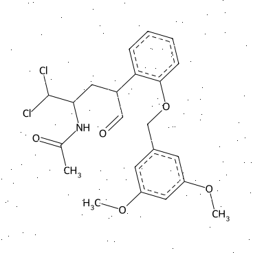 COc1cc(COc2ccccc2C(C=O)CC(NC(C)=O)C(Cl)Cl)cc(OC)c1